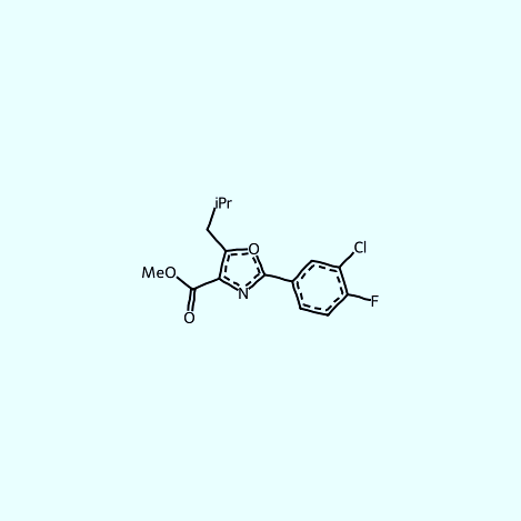 COC(=O)c1nc(-c2ccc(F)c(Cl)c2)oc1CC(C)C